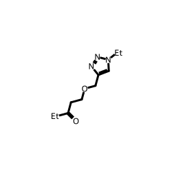 CCC(=O)CCOCc1cn(CC)nn1